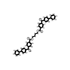 O=C(OCCCCOC(=O)c1ccc(C(=O)c2ccc(-c3ccccc3)cc2)cc1)c1ccc(C(=O)c2ccc(-c3ccccc3)cc2)cc1